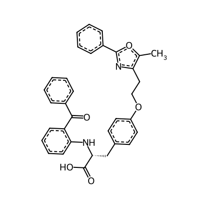 Cc1oc(-c2ccccc2)nc1CCOc1ccc(C[C@@H](Nc2ccccc2C(=O)c2ccccc2)C(=O)O)cc1